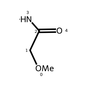 COCC([NH])=O